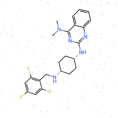 CN(C)c1nc(N[C@H]2CC[C@@H](NCc3c(F)cc(F)cc3F)CC2)nc2ccccc12